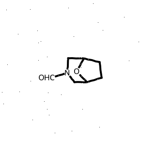 O=CN1CC2CCC(C1)O2